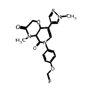 CN1C(=O)COC2C(c3cnn(C)c3)=CN(c3ccc(OCF)cc3)C(=O)C21